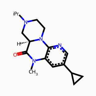 CC(C)N1CCN2c3ncc(C4CC4)cc3N(C)C(=O)[C@H]2C1